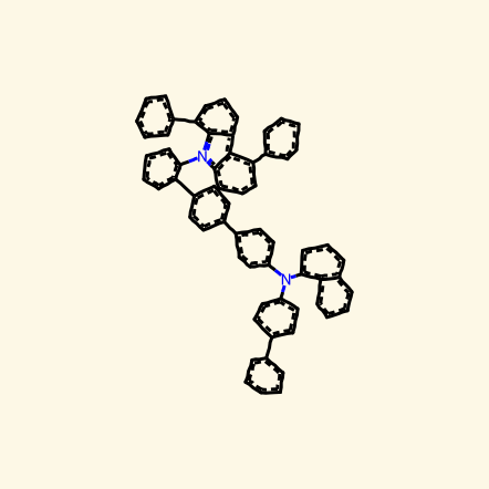 c1ccc(-c2ccc(N(c3ccc(-c4ccc(-c5ccccc5-n5c6cccc(-c7ccccc7)c6c6cccc(-c7ccccc7)c65)cc4)cc3)c3cccc4ccccc34)cc2)cc1